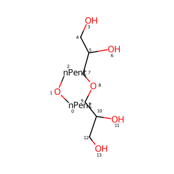 CCCCCOCCCCC.OCC(O)COCC(O)CO